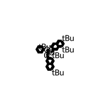 CC(C)(C)c1ccc2cc(OP(Oc3ccccc3)Oc3cc4c(C(C)(C)C)cc(C(C)(C)C)cc4cc3C(C)(C)C)c(C(C)(C)C)cc2c1